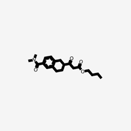 CCCCOC(=O)CC(=O)C1CCc2cc(C(=O)N(C)C)ccc2C1